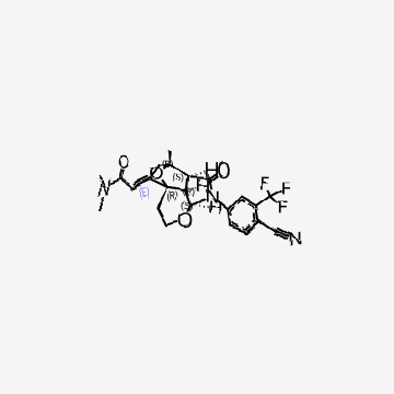 CN(C)C(=O)/C=C1\C[C@@]2(C)O[C@@]13CCO[C@H]1[C@@H]3[C@@H]2C(=O)N1c1ccc(C#N)c(C(F)(F)F)c1